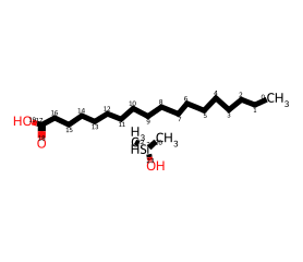 CCCCCCCCCCCCCCCCCC(=O)O.C[SiH](C)O